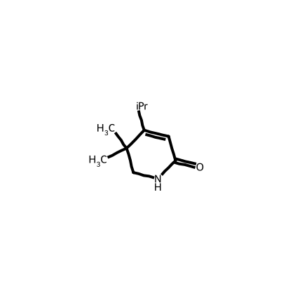 CC(C)C1=CC(=O)NCC1(C)C